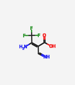 N=C/C(C(=O)O)=C(\N)C(F)(F)F